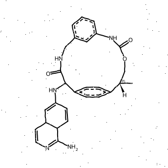 C[C@H]1COC(=O)Nc2cccc(c2)CNC(=O)C(NC2=CC3C=CN=C(N)C3C=C2)c2ccc1cc2